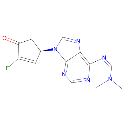 CN(C)/C=N\c1ncnc2c1ncn2[C@H]1C=C(F)C(=O)C1